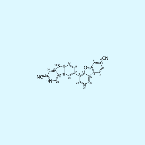 N#Cc1ccc2c(c1)oc1c(-c3ccc4sc5cc(C#N)ncc5c4c3)cncc12